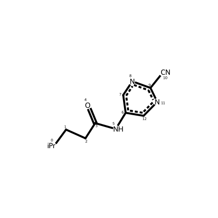 CC(C)CCC(=O)Nc1cnc(C#N)nc1